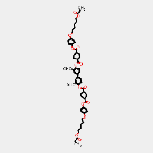 C=CC(=O)OCCCCCCOc1ccc(OC(=O)C2CCC(C(=O)Oc3ccc(-c4ccc(OC(=O)C5CCC(C(=O)Oc6ccc(OCCCCCCOC(=O)C=C)cc6)CC5)c(C=O)c4)cc3C=O)CC2)cc1